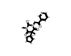 CN1C(=O)N(CC(=O)c2cccnc2)C(=O)C(C)(C2=CCCC2)C1=O